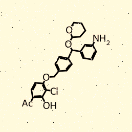 CC(=O)c1ccc(OCc2ccc(C(OC3CCCCO3)c3cccc(N)c3)cc2)c(Cl)c1O